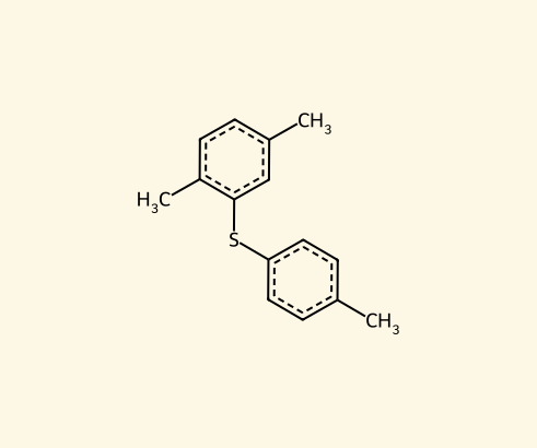 Cc1ccc(Sc2cc(C)ccc2C)cc1